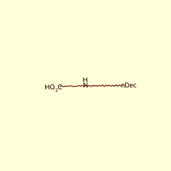 CCCCCCCCCCCCCCCCCCCCCCCCCCCCCCCNCCCCCCCCCCCCCCC(=O)O